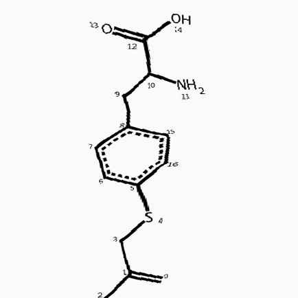 C=C(C)CSc1ccc(CC(N)C(=O)O)cc1